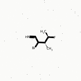 C[C@H](C(Br)C=N)[C@@H](C)F